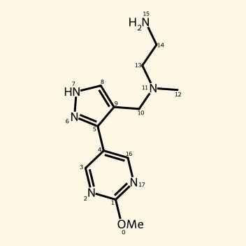 COc1ncc(-c2n[nH]cc2CN(C)CCN)cn1